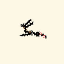 CCCCCCc1c[c]([Ge]([CH3])([CH3])[CH2]Cc2ccc(OCCOCC)cc2)sc1-c1ccc(-c2sc([Si](C)(C)C)c(CCCCCC)c2CCCCCC)s1